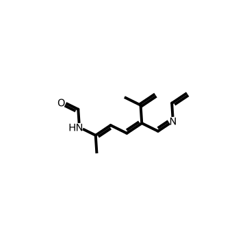 C=C\N=C/C(=C/C=C(\C)NC=O)C(=C)C